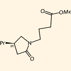 CCC[C@@H]1CC(=O)N(CCCC(=O)OC)C1